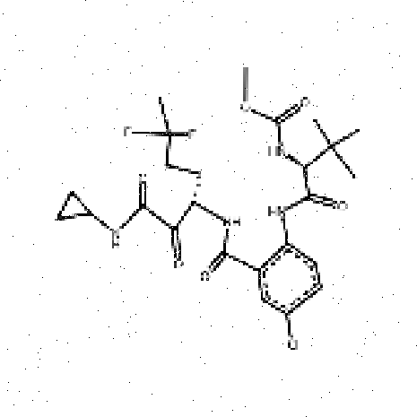 COC(=O)N[C@H](C(=O)Nc1ccc(Cl)cc1C(=O)N[C@@H](CCC(C)(F)F)C(=O)C(=O)NC1CC1)C(C)(C)C